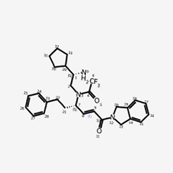 N[C@H](CN(C(=O)C(F)(F)F)[C@H](/C=C/C(=O)N1Cc2ccccc2C1)CCc1ccccc1)C1CCCC1